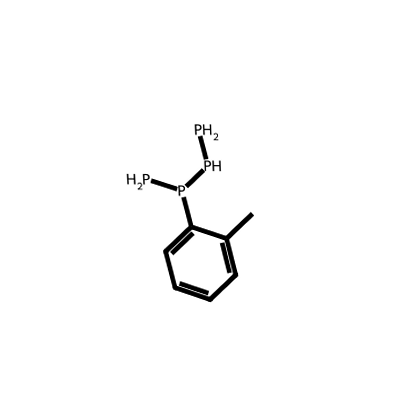 Cc1ccccc1P(P)PP